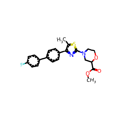 COC(=O)C1CN(c2nc(-c3ccc(-c4ccc(F)cc4)cc3)c(C)s2)CCO1